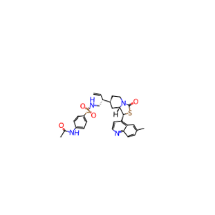 C=C[C@@H](CNS(=O)(=O)c1ccc(NC(C)=O)cc1)[C@H]1CCN2C(=O)S[C@@H](c3ccnc4ccc(C)cc34)[C@@H]2C1